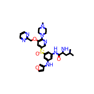 CC(C)CC(N)C(=O)Nc1cc(Nc2ccoc2)cc([S+]([O-])c2cnc(N3CCN(C)CC3)c(OCc3ncccn3)c2)c1